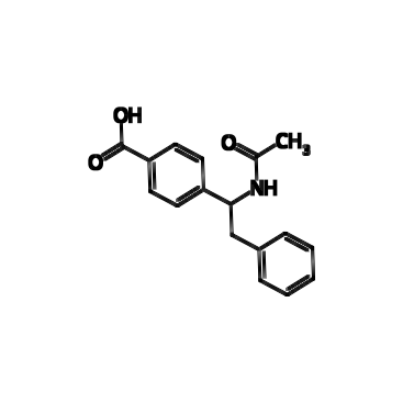 CC(=O)NC(Cc1ccccc1)c1ccc(C(=O)O)cc1